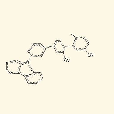 Cc1ccc(C#N)cc1-c1ccc(-c2cccc(-n3c4ccccc4c4ccccc43)c2)cc1C#N